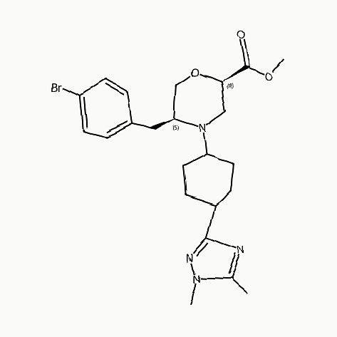 COC(=O)[C@H]1CN(C2CCC(c3nc(C)n(C)n3)CC2)[C@@H](Cc2ccc(Br)cc2)CO1